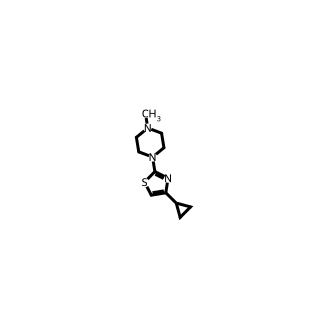 CN1CCN(c2nc(C3CC3)cs2)CC1